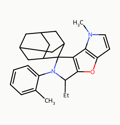 CCC1c2oc3ccn(C)c3c2C2(C3CC4CC(C3)CC2C4)N1c1ccccc1C